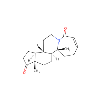 C[C@]12CC[C@H]3[C@@H](CCN4C(=O)C=CCC[C@]34C)[C@@H]1CCC2=O